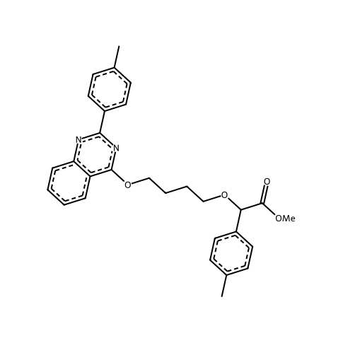 COC(=O)C(OCCCCOc1nc(-c2ccc(C)cc2)nc2ccccc12)c1ccc(C)cc1